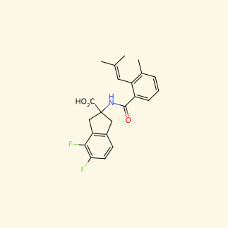 CC(C)=Cc1c(C)cccc1C(=O)NC1(C(=O)O)Cc2ccc(F)c(F)c2C1